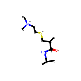 CC(C)NC(=O)C(C)CSCCN(C)C